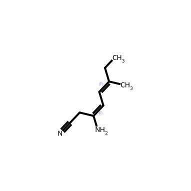 CC/C(C)=C/C=C(/N)CC#N